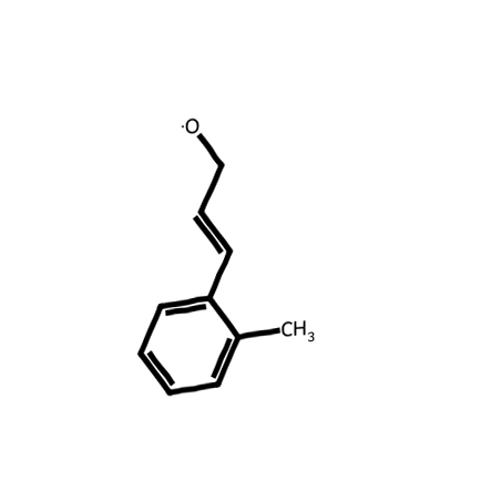 Cc1ccccc1C=CC[O]